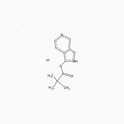 CC(C)(C)C(=O)Oc1[nH]cc2cnccc12.[H+]